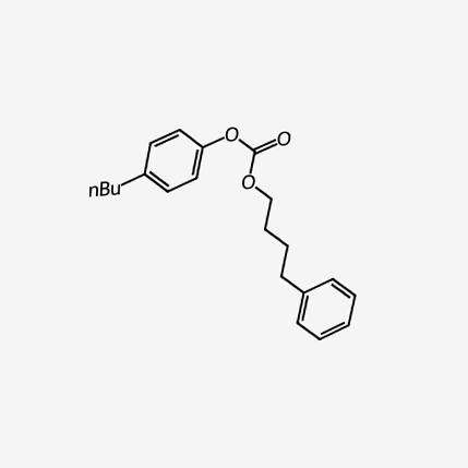 CCCCc1ccc(OC(=O)OCCCCc2ccccc2)cc1